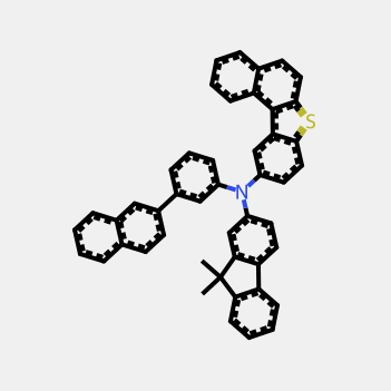 CC1(C)c2ccccc2-c2ccc(N(c3cccc(-c4ccc5ccccc5c4)c3)c3ccc4sc5ccc6ccccc6c5c4c3)cc21